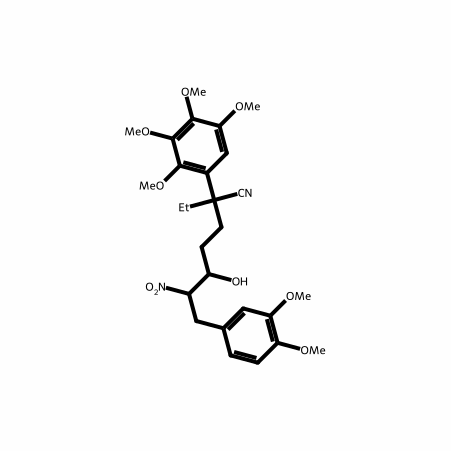 CCC(C#N)(CCC(O)C(Cc1ccc(OC)c(OC)c1)[N+](=O)[O-])c1cc(OC)c(OC)c(OC)c1OC